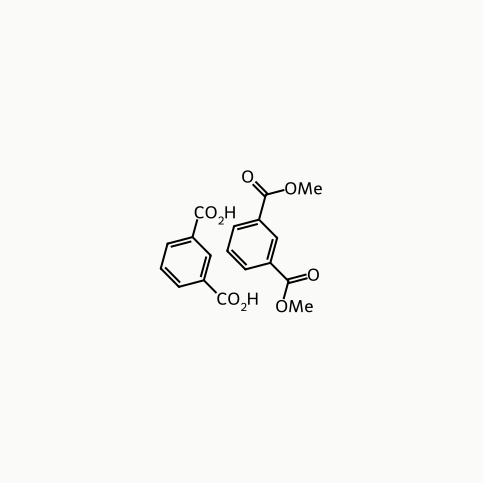 COC(=O)c1cccc(C(=O)OC)c1.O=C(O)c1cccc(C(=O)O)c1